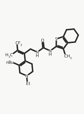 CCCCC1=C(/C(CNC(=O)Nc2sc3c(c2C)CCCC3)=C(\C)C(F)(F)F)CCN(CC)C1